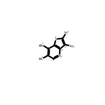 [2H]c1sc2c(C(C)(C)C)c(C#N)cnc2c1[2H]